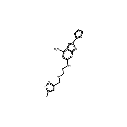 Cc1cc(CNCCNc2nc(N)n3nc(-c4ccco4)nc3n2)no1